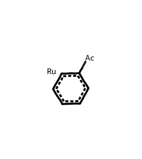 CC(=O)c1ccccc1.[Ru]